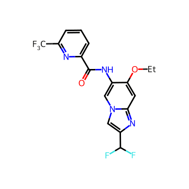 CCOc1cc2nc(C(F)F)cn2cc1NC(=O)c1cccc(C(F)(F)F)n1